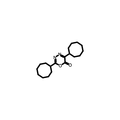 O=c1oc(C2CCCCCCC2)nnc1C1CCCCCCC1